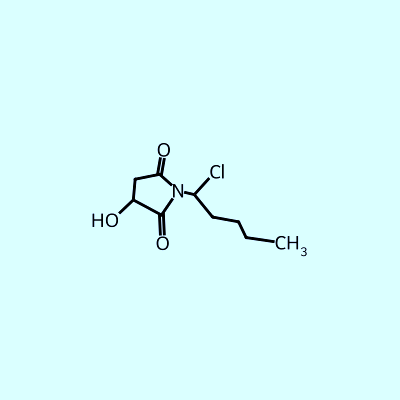 CCCCC(Cl)N1C(=O)CC(O)C1=O